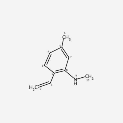 C=Cc1ccc(C)cc1NC